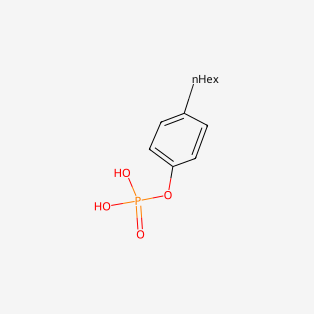 CCCCCCc1ccc(OP(=O)(O)O)cc1